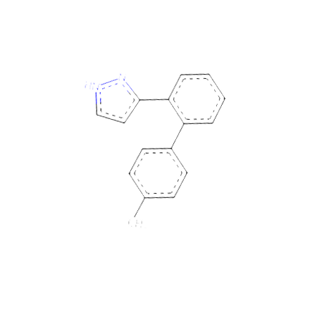 Cc1ccc(-c2ccccc2-c2cc[nH]n2)cc1